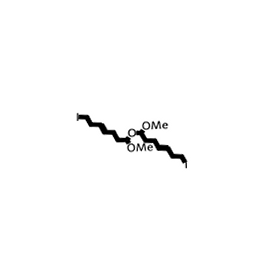 COC(CC/C=C/CCI)OC(CC/C=C/CCI)OC